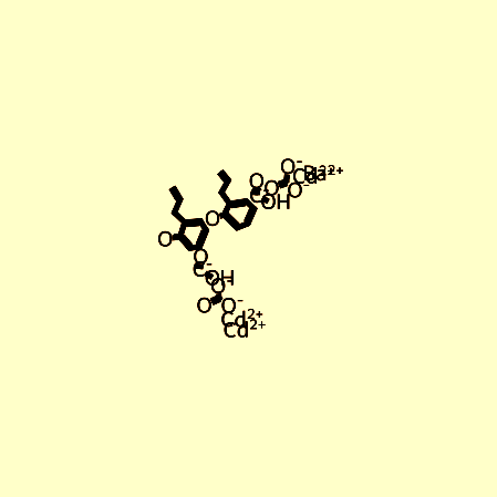 C=CCc1ccccc1[O-].C=CCc1ccccc1[O-].O=C([O-])[O-].O=C([O-])[O-].O=[C-]O.O=[C-]O.[Ba+2].[Cd+2].[Cd+2].[Cd+2]